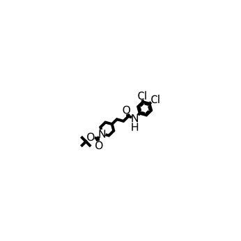 CC(C)(C)OC(=O)N1CCC(CCC(=O)Nc2ccc(Cl)c(Cl)c2)CC1